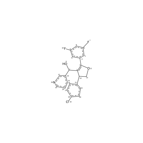 OC(C1=C(c2cc(F)cc(F)c2)OCC1c1ccc(Cl)cc1)c1cccnc1